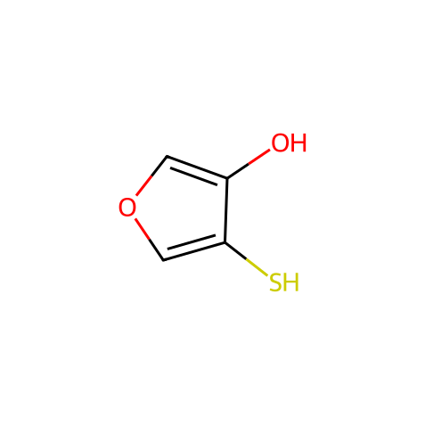 Oc1cocc1S